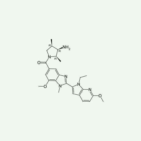 CCn1c(-c2nc3cc(C(=O)N4C[C@@H](C)[C@@H](N)[C@H]4C)cc(OC)c3n2C)cc2ccc(OC)nc21